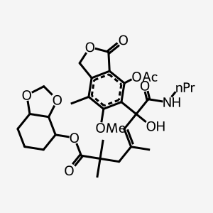 CCCNC(=O)C(O)(C=C(C)CC(C)(C)C(=O)OC1CCCC2OCOC21)c1c(OC)c(C)c2c(c1OC(C)=O)C(=O)OC2